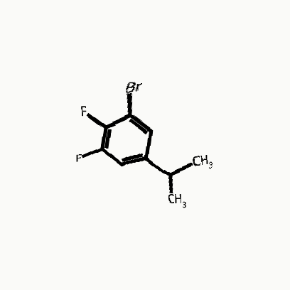 CC(C)c1cc(F)c(F)c(Br)c1